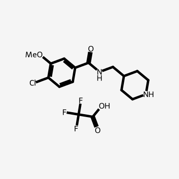 COc1cc(C(=O)NCC2CCNCC2)ccc1Cl.O=C(O)C(F)(F)F